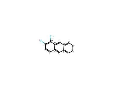 Fc1ccc2cc3ccccc3cc2c1F